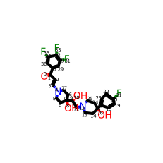 O=C(C=CN1CCC(O)(C(O)CN2CCC(O)(c3ccc(F)cc3)CC2)CC1)c1cc(F)c(F)c(F)c1